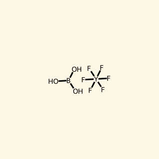 OB(O)O.[F][Y]([F])([F])([F])([F])[F]